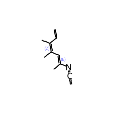 C=C=N/C(C)=C/C(C)=C(/C)C=C